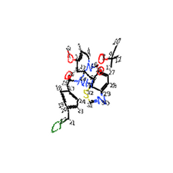 COC1=CCN(C(=O)OC(C)(C)C)C(NC(=O)c2ccc(CCl)cc2)(c2cccc3ncsc23)C1